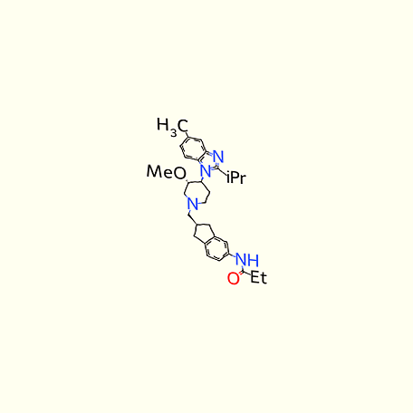 CCC(=O)Nc1ccc2c(c1)C[C@H](CN1CC[C@H](n3c(C(C)C)nc4cc(C)ccc43)[C@@H](OC)C1)C2